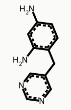 Nc1ccc(Cc2cncnc2)c(N)c1